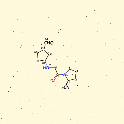 N#C[C@@H]1CCCN1C(=O)CNC1CCC(C=O)C1